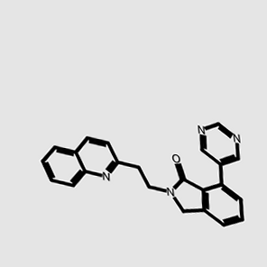 O=C1c2c(cccc2-c2cncnc2)CN1CCc1ccc2ccccc2n1